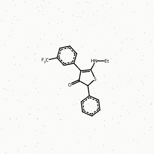 CCNC1=C(c2cccc(C(F)(F)F)c2)C(=O)C(c2ccccc2)S1